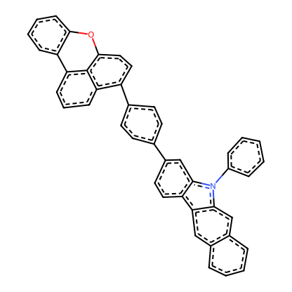 c1ccc(-n2c3cc(-c4ccc(-c5ccc6c7c(cccc57)-c5ccccc5O6)cc4)ccc3c3cc4ccccc4cc32)cc1